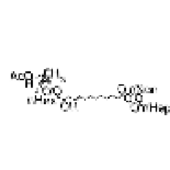 CCCCCCCCCC(OC(=O)CCCCCCC)OC(=O)CCCCCCCC=CCC(O)C(CCCCCC)OC(=O)C[N+](C)(C)CCOC(C)=O